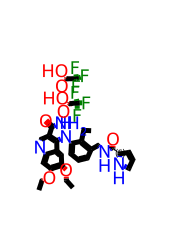 CCOc1cc2ncc(C(N)=O)c(Nc3cccc(CNC(=O)[C@@H]4C=CCN4)c3CC)c2cc1OCC.O=C(O)C(F)(F)F.O=C(O)C(F)(F)F